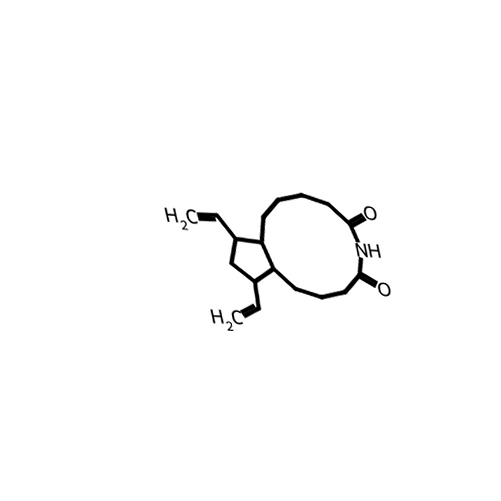 C=CC1CC(C=C)C2CCCC(=O)NC(=O)CCCCC12